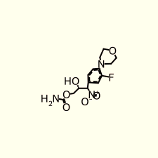 NC(=O)OC[C@@H](O)C(c1ccc(N2CCOCC2)c(F)c1)[N+](=O)[O-]